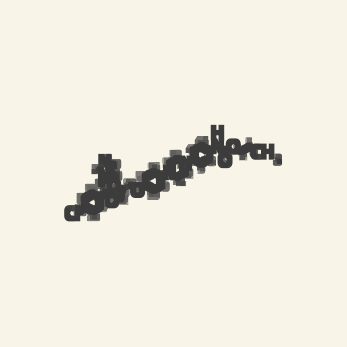 CCCOC(=O)Nc1ccc(N2CCN(c3ccc(OC[C@@H]4CO[C@@](Cn5cncn5)(c5ccc(Cl)cc5)O4)cc3)CC2)cc1